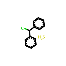 ClC(c1ccccc1)c1ccccc1.S